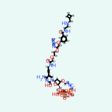 [N-]=[N+]=NCOC1C[C@H](N2C=C(C#CCNC(=O)COCCOC(COc3cccc(C(=O)NCCNCC4CCC4)c3)N=[N+]=[N-])C(N)=NC2O)O[C@@H]1COP(=O)(O)OP(=O)(O)OP(=O)(O)O